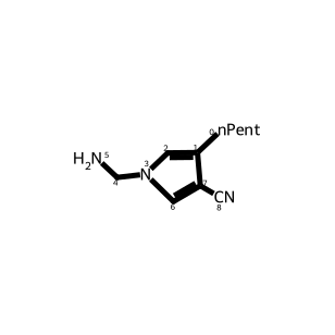 CCCCCc1cn(CN)cc1C#N